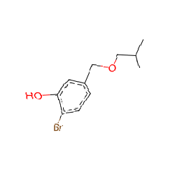 CC(C)COCc1ccc(Br)c(O)c1